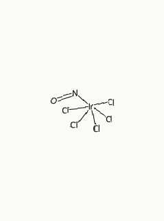 O=[N][Ir]([Cl])([Cl])([Cl])([Cl])[Cl]